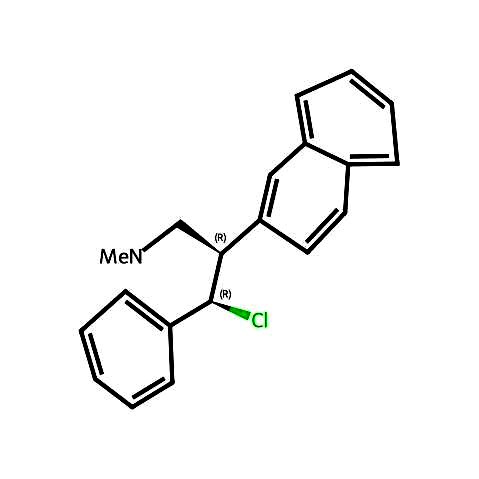 CNC[C@@H](c1ccc2ccccc2c1)[C@@H](Cl)c1ccccc1